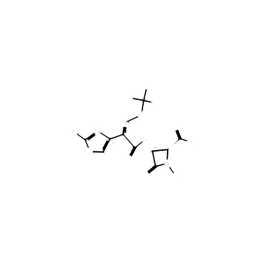 CC(C)(ON=C(C(=O)N[C@H]1C(=O)N(S(=O)(=O)O)[C@@H]1C(N)=O)c1csc(N)n1)C(=O)O